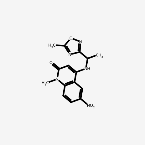 Cc1nc(C(C)Nc2cc(=O)n(C)c3ccc([N+](=O)[O-])cc23)no1